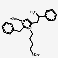 CCCCCCCCCCCCCC[n+]1c(CC(C)c2ccccc2)cn(CCCCCCCCCC)c1Cc1ccccc1